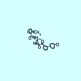 Cn1ccnc1C(=O)NC[C@@H]1CCO[C@@H](c2cccc(-c3ccc(Cl)cc3)c2)C(=O)N1